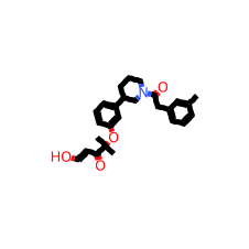 Cc1cccc(CC(=O)N2CCCC(c3cccc(OC(C)(C)C(=O)/C=C/O)c3)C2)c1